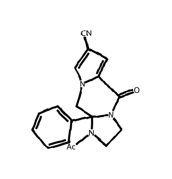 CC(=O)N1CCN2C(=O)c3cc(C#N)cn3CC12c1ccccc1